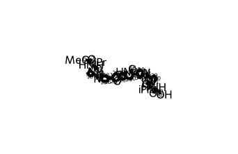 COC(=O)N[C@@H](C(=O)N1CCCC1c1nc2ccc(C3CCc4cc5c(cc4OC3)CCC(c3ccc4nc(C6CCCN6C(=O)[C@@H](NC(=O)CO)C(C)C)[nH]c4c3)C(=O)N5)cc2[nH]1)C(C)C